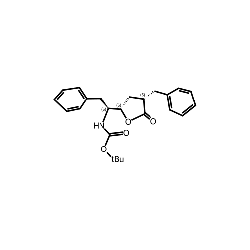 CC(C)(C)OC(=O)N[C@@H](Cc1ccccc1)[C@@H]1C[C@H](Cc2ccccc2)C(=O)O1